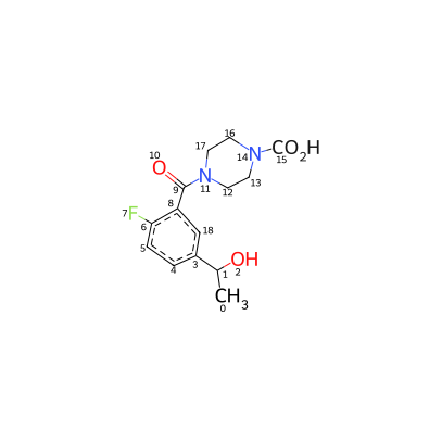 CC(O)c1ccc(F)c(C(=O)N2CCN(C(=O)O)CC2)c1